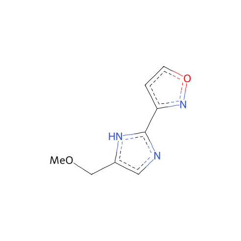 COCc1cnc(-c2ccon2)[nH]1